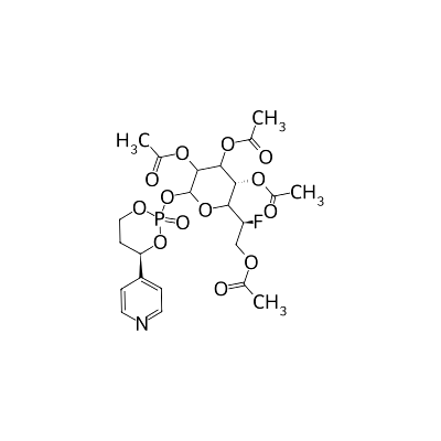 CC(=O)OC[C@H](F)C1OC(OP2(=O)OCC[C@H](c3ccncc3)O2)C(OC(C)=O)C(OC(C)=O)[C@@H]1OC(C)=O